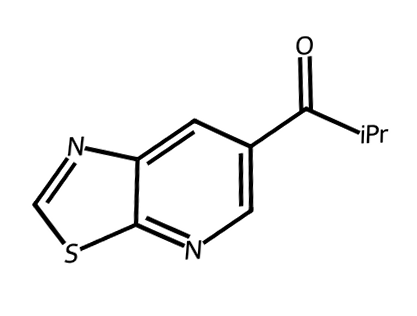 CC(C)C(=O)c1cnc2scnc2c1